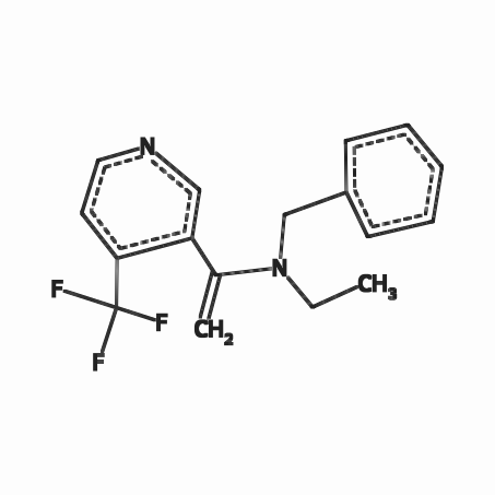 C=C(c1cnccc1C(F)(F)F)N(CC)Cc1ccccc1